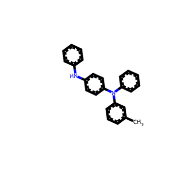 Cc1cccc(N(c2ccccc2)c2ccc(Nc3ccccc3)cc2)c1